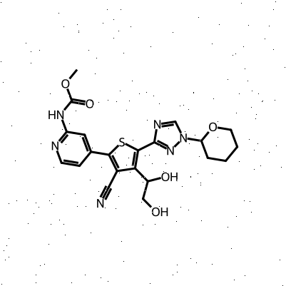 COC(=O)Nc1cc(-c2sc(-c3ncn(C4CCCCO4)n3)c(C(O)CO)c2C#N)ccn1